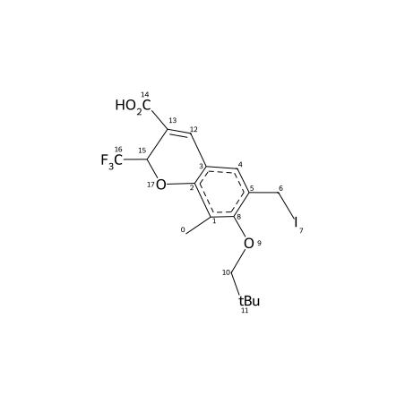 Cc1c2c(cc(CI)c1OCC(C)(C)C)C=C(C(=O)O)C(C(F)(F)F)O2